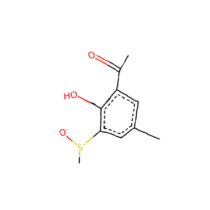 CC(=O)c1cc(C)cc([S+](C)[O-])c1O